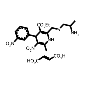 CCOC(=O)C1=C(CSCC(C)N)NC(C)=C([N+](=O)[O-])C1c1cccc([N+](=O)[O-])c1.O=C(O)/C=C/C(=O)O